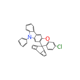 Clc1ccc2c(c1)Oc1cc3c4ccccc4n(-c4ccccc4)c3cc1C21c2ccccc2-c2ccccc21